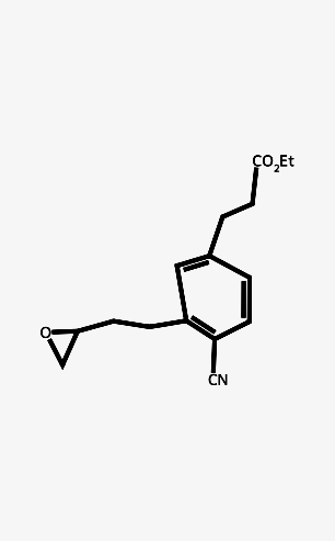 CCOC(=O)CCc1ccc(C#N)c(CCC2CO2)c1